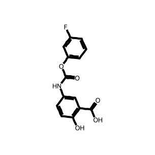 O=C(Nc1ccc(O)c(C(=O)O)c1)Oc1cccc(F)c1